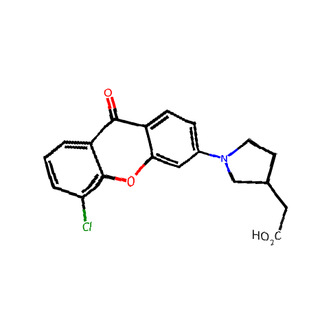 O=C(O)CC1CCN(c2ccc3c(=O)c4cccc(Cl)c4oc3c2)C1